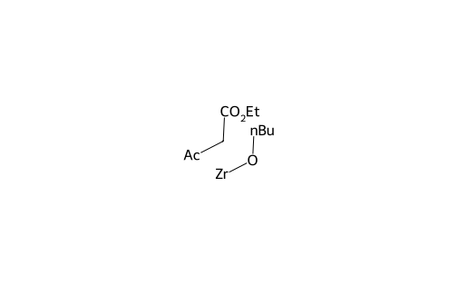 CCCC[O][Zr].CCOC(=O)CC(C)=O